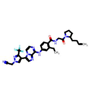 C=CCCC1CCCN1C(=O)CNC(=O)c1ccc(Nc2nccn3c(-c4cn(CC#N)nc4C(F)(F)F)cnc23)cc1CC